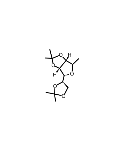 CC1O[C@H]([C@H]2COC(C)(C)O2)[C@@H]2OC(C)(C)O[C@H]12